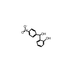 O=[N+]([O-])c1ccc(C(O)c2ccccc2O)cc1